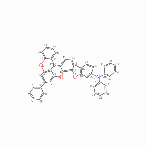 c1ccc(-c2cc3c4c(c2)Oc2c(ccc5c2oc2cc(N(c6ccccc6)c6ccccc6)ccc25)B4c2ccccc2O3)cc1